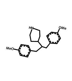 COc1ccc(CC(Cc2ccc(OC)cc2)C2CCNCC2)cc1